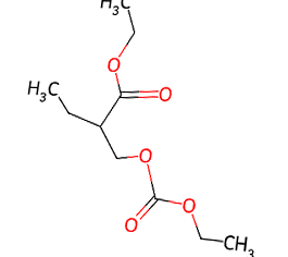 CCOC(=O)OCC(CC)C(=O)OCC